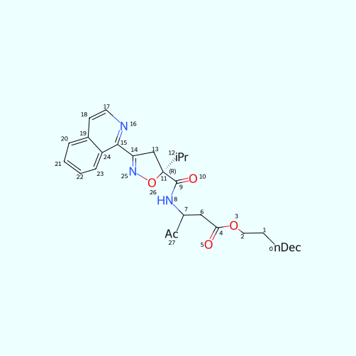 CCCCCCCCCCCCOC(=O)CC(NC(=O)[C@]1(C(C)C)CC(c2nccc3ccccc23)=NO1)C(C)=O